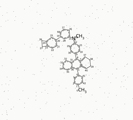 Cc1ccc(-c2c3c(c(-c4ccc(N(C)c5cccc(-c6ccc7c(c6)CC7)c5)cc4)c4ccccc24)=CCCC=3)cc1